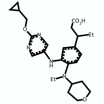 CCC(CC(=O)O)c1ccc(N(CC)C2CCOCC2)c(Nc2cnc(OCC3CC3)nc2)c1